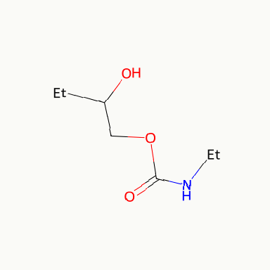 CCNC(=O)OCC(O)CC